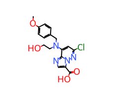 COc1ccc(CN(CCO)c2cc(Cl)nn3c(C(=O)O)cnc23)cc1